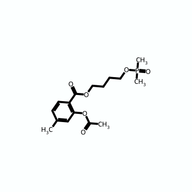 CC(=O)Oc1cc(C)ccc1C(=O)OCCCCOP(C)(C)=O